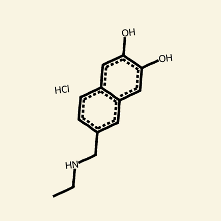 CCNCc1ccc2cc(O)c(O)cc2c1.Cl